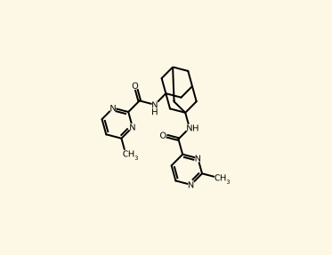 Cc1ccnc(C(=O)NC23CC4CC(CC(NC(=O)c5ccnc(C)n5)(C4)C2)C3)n1